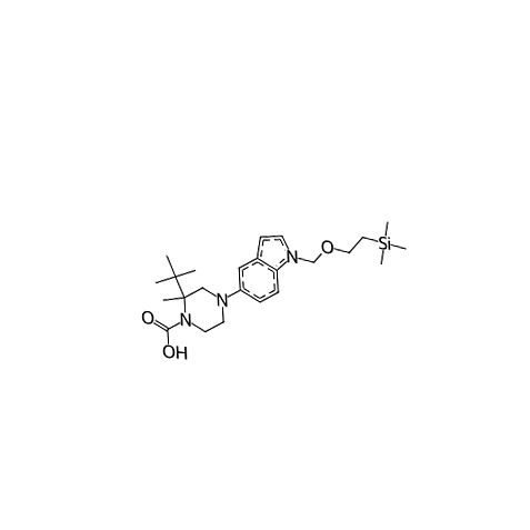 CC(C)(C)C1(C)CN(c2ccc3c(ccn3COCC[Si](C)(C)C)c2)CCN1C(=O)O